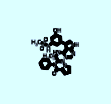 C[C@H](Nc1ncnc2[nH]cc(-c3cc(O)cc(NS(C)(=O)=O)c3)c12)c1nn2cccc2c(=O)n1-c1ccccc1